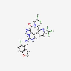 O=C1c2ncn3c(NCc4c(F)ccc5c4CCO5)ncc(c23)-c2ccc(C(F)(F)F)nc2CN1CC(F)F